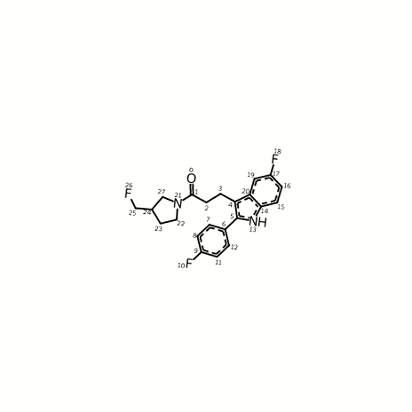 O=C(CCc1c(-c2ccc(F)cc2)[nH]c2ccc(F)cc12)N1CCC(CF)C1